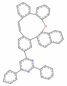 C1=C\c2ccc(-c3cc(-c4ccccc4)nc(-c4ccccc4)n3)cc2-c2ccc3ccccc3c2Oc2ccccc2-c2ccccc2/1